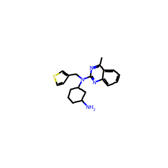 Cc1nc(N(Cc2ccsc2)C2CCCC(N)C2)nc2ccccc12